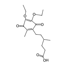 CCOC1=C(OCC)C(=O)C(CCC(C)CCC(=O)O)=C(C)C1=O